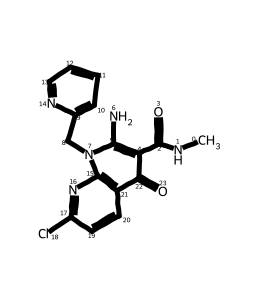 CNC(=O)c1c(N)n(Cc2ccccn2)c2nc(Cl)ccc2c1=O